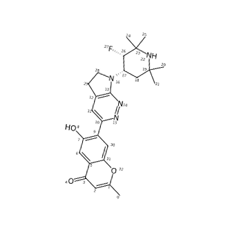 Cc1cc(=O)c2cc(O)c(-c3cc4c(nn3)N([C@H]3CC(C)(C)NC(C)(C)[C@H]3F)CC4)cc2o1